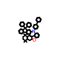 CC1(C)CCC(C)(C)C2=C1C=C1c3c(cccc3N(c3ccc(-c4ccccc4)cc3)c3ccc4c(c3)C(c3ccccc3)(c3ccccc3)c3ccccc3-4)OC1C2